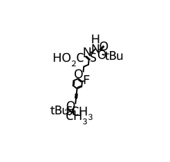 CC(C)(C)OC(=O)Nc1nc(C(=O)O)c(CCCOc2ccc(C#CCO[Si](C)(C)C(C)(C)C)cc2F)s1